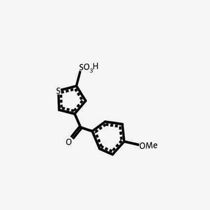 COc1ccc(C(=O)c2csc(S(=O)(=O)O)c2)cc1